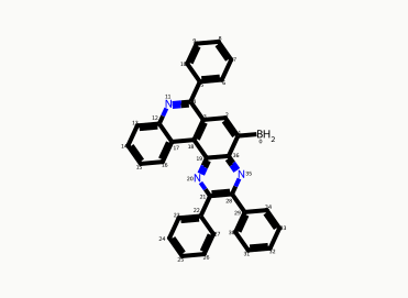 Bc1cc2c(-c3ccccc3)nc3ccccc3c2c2nc(-c3ccccc3)c(-c3ccccc3)nc12